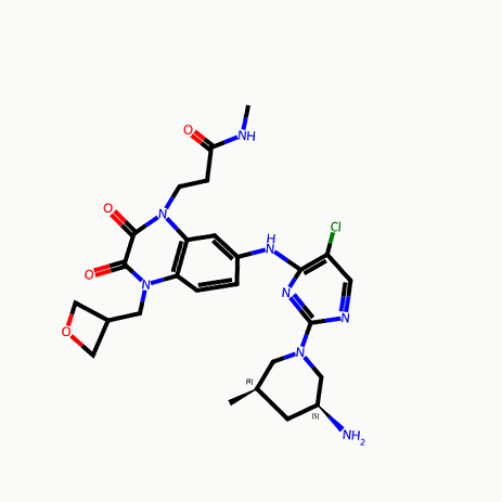 CNC(=O)CCn1c(=O)c(=O)n(CC2COC2)c2ccc(Nc3nc(N4C[C@H](C)C[C@H](N)C4)ncc3Cl)cc21